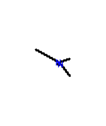 CCCCCCCCCCCCCCCCCN1C=CN(CCCCCCCCCC)C1CCCCCCC